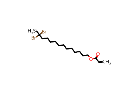 C=CC(=O)OCCCCCCCCCCCCC([SiH3])(Br)Br